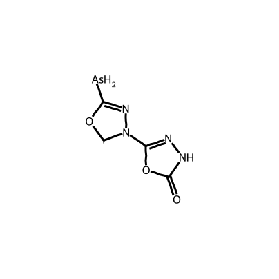 O=c1[nH]nc(N2[CH]OC([AsH2])=N2)o1